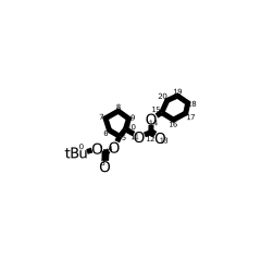 CC(C)(C)OC(=O)OC1CCCCC1OC(=O)OC1CCCCC1